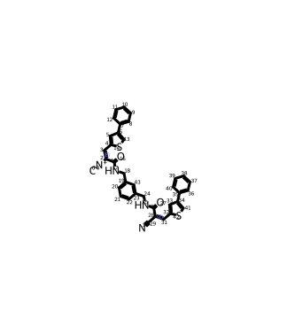 [C-]#[N+]/C(=C/c1cc(-c2ccccc2)cs1)C(=O)NCc1cccc(CNC(=O)/C(C#N)=C\c2cc(-c3ccccc3)cs2)c1